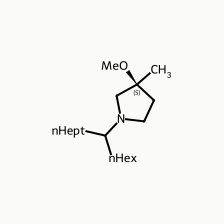 CCCCCCCC(CCCCCC)N1CC[C@](C)(OC)C1